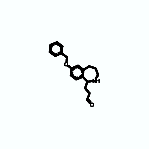 O=CCCC1NCCCc2cc(OCc3ccccc3)ccc21